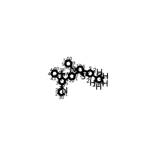 [2H]c1c([2H])c([2H])c(-c2ccc3c(c2)sc2c3ccc3c2c2ccc(-c4cc(-c5ccccn5)cc5c4C(C)(C)c4ccccc4-5)cc2n3-c2ccccc2)c([2H])c1[2H]